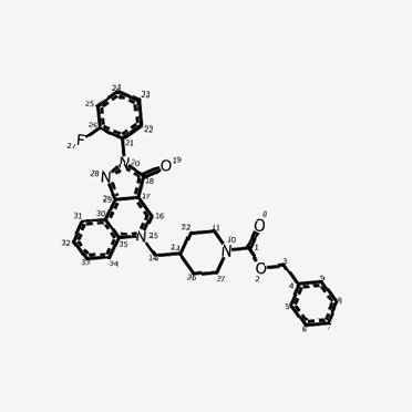 O=C(OCc1ccccc1)N1CCC(Cn2cc3c(=O)n(-c4ccccc4F)nc-3c3ccccc32)CC1